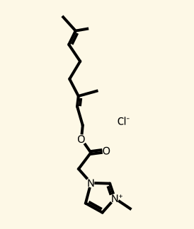 CC(C)=CCC/C(C)=C/COC(=O)Cn1cc[n+](C)c1.[Cl-]